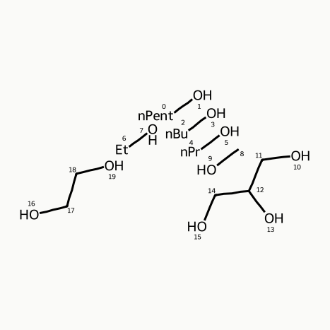 CCCCCO.CCCCO.CCCO.CCO.CO.OCC(O)CO.OCCO